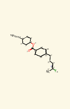 CCCCCC1CCC(OC(=O)C2CCC(CC/C=C(/F)C#N)CC2)CC1